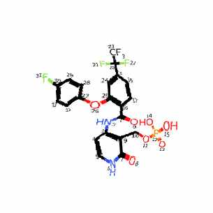 O=C(Nc1cc[nH]c(=O)c1COP(=O)(O)O)c1ccc(C(F)(F)C(F)(F)F)cc1Oc1ccc(F)cc1